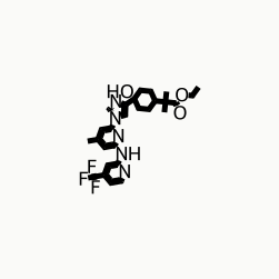 CCOC(=O)C(C)(C)C1CCC(O)(c2cn(-c3cc(C)cc(Nc4cc(C(F)(F)F)ccn4)n3)cn2)CC1